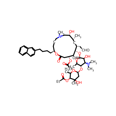 CCC(=O)O[C@@H]1CC(=O)O[C@@H](CCCCc2ccc3ccccc3c2)CCCN(C)C[C@H](O)[C@H](C)C[C@H](CC=O)[C@H](O[C@@H]2OC(C)[C@@H](O[C@H]3CC(C)(O)[C@@H](OC(=O)CC)C(C)O3)C(N(C)C)C2O)[C@H]1OC